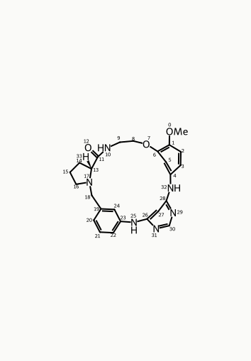 COc1ccc2cc1OCCNC(=O)[C@H]1CCCN1Cc1cccc(c1)Nc1cc(ncn1)N2